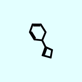 C1=CCC(C2=CCC2)C=C1